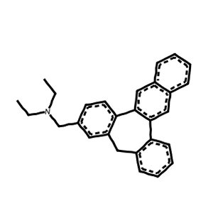 CCN(CC)Cc1ccc2c(c1)Cc1ccccc1-c1cc3ccccc3cc1-2